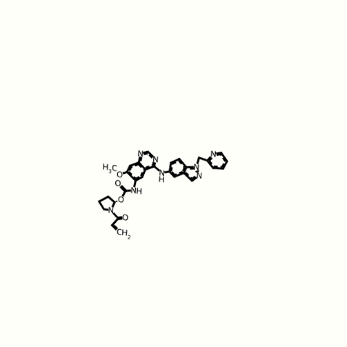 C=CC(=O)N1CCC[C@@H]1OC(=O)Nc1cc2c(Nc3ccc4c(cnn4Cc4ccccn4)c3)ncnc2cc1OC